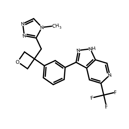 Cn1cnnc1CC1(c2cccc(-c3n[nH]c4cnc(C(F)(F)F)cc34)c2)COC1